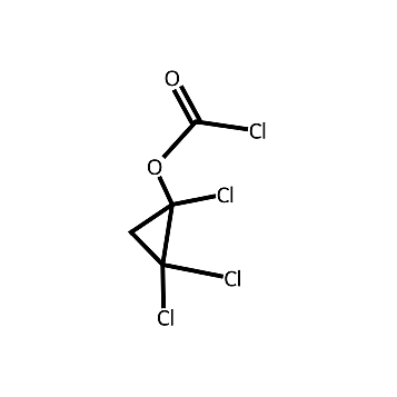 O=C(Cl)OC1(Cl)CC1(Cl)Cl